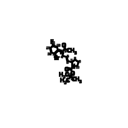 CC(=O)N(CC=CC1CCCN1C(=O)OC(C)(C)C)c1cc(F)ccc1Br